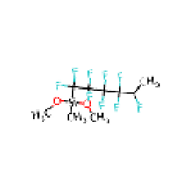 CO[Si](C)(OC)C(F)(F)C(F)(F)C(F)(F)C(F)(F)C(C)F